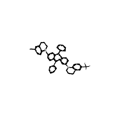 Cc1ccc2c(c1)CCCN2c1ccc2c(-c3ccccc3)c3cc(N4CCCc5cc(C(F)(F)F)ccc54)ccc3c(-c3ccccc3)c2c1